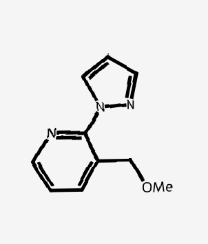 COCc1cccnc1-n1c[c]cn1